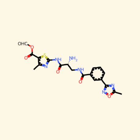 Cc1nc(-c2cccc(C(=O)NC[C@@H](N)C(=O)Nc3nc(C)c(C(=O)OC=O)s3)c2)no1